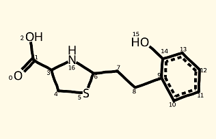 O=C(O)C1CSC(CCc2ccccc2O)N1